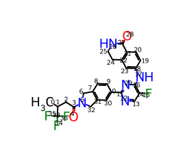 CC(CC(=O)N1Cc2ccc(-c3ncc(F)c(Nc4ccc5c(c4)CCNC5=O)n3)cc2C1)C(F)(F)F